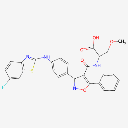 COCC(NC(=O)c1c(-c2ccc(Nc3nc4ccc(F)cc4s3)cc2)noc1-c1ccccc1)C(=O)O